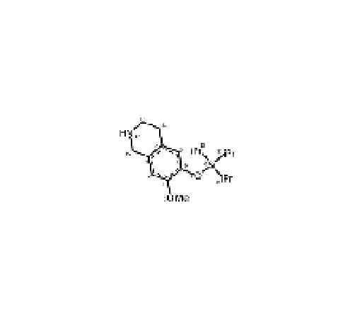 COc1cc2c(cc1O[Si](C(C)C)(C(C)C)C(C)C)CCNC2